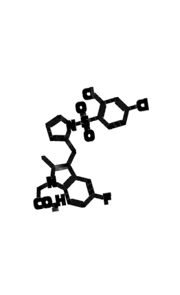 Cc1c(Cc2cccn2S(=O)(=O)c2ccc(Cl)cc2Cl)c2cc(F)ccc2n1CC(=O)O